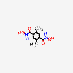 Cc1cc(C(=O)NO)c(C)cc1C(=O)NO